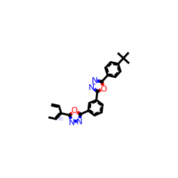 C=C/C(=C\C)c1nnc(-c2cccc(-c3nnc(-c4ccc(C(C)(C)C)cc4)o3)c2)o1